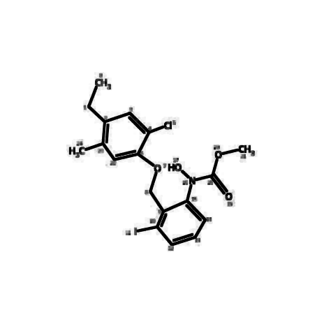 CCc1cc(Cl)c(OCc2c(I)cccc2N(O)C(=O)OC)cc1C